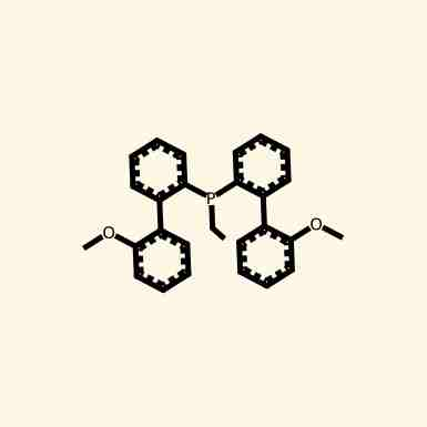 CCP(c1ccccc1-c1ccccc1OC)c1ccccc1-c1ccccc1OC